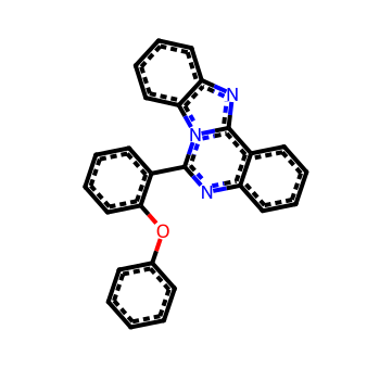 c1ccc(Oc2ccccc2-c2nc3ccccc3c3nc4ccccc4n23)cc1